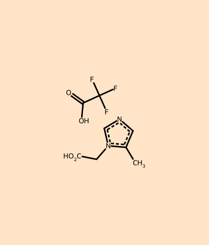 Cc1cncn1CC(=O)O.O=C(O)C(F)(F)F